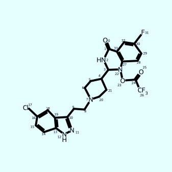 O=C1NC(C2CCN(CCc3n[nH]c4ccc(Cl)cc34)CC2)N(OC(=O)C(F)(F)F)c2ccc(F)cc21